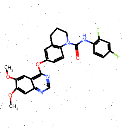 COc1cc2ncnc(Oc3ccc4c(c3)CCCN4C(=O)Nc3ccc(F)cc3F)c2cc1OC